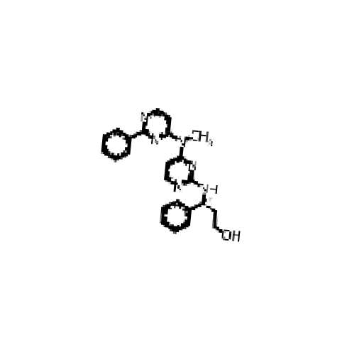 CN(c1ccnc(N[C@@H](CCO)c2ccccc2)n1)c1ccnc(-c2ccccc2)n1